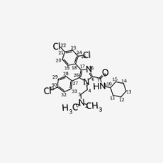 CN(C)CCn1c(C(=O)NC2CCCCC2)nc(-c2ccc(Cl)cc2Cl)c1-c1ccc(Cl)cc1